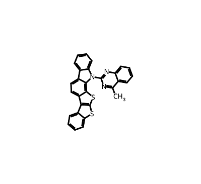 Cc1nc(-n2c3ccccc3c3ccc4c(sc5sc6ccccc6c54)c32)nc2ccccc12